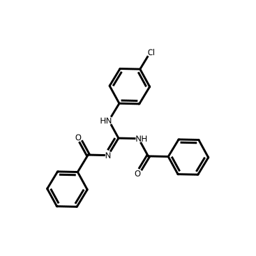 O=C(N=C(NC(=O)c1ccccc1)Nc1ccc(Cl)cc1)c1ccccc1